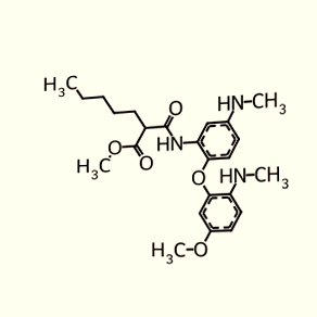 CCCCCC(C(=O)Nc1cc(NC)ccc1Oc1cc(OC)ccc1NC)C(=O)OC